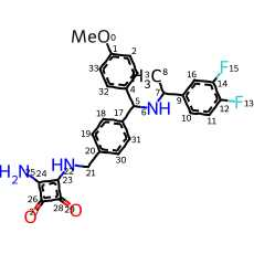 COc1ccc(C(NC(C)c2ccc(F)c(F)c2)c2ccc(CNc3c(N)c(=O)c3=O)cc2)cc1